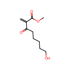 C=C(C(=O)CCCCCO)C(=O)OC